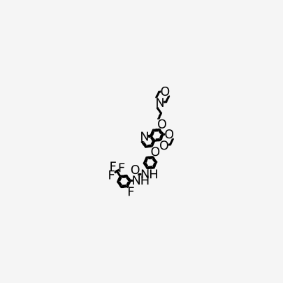 O=C(Nc1ccc(Oc2ccnc3cc(OCCCN4CCOCC4)c4c(c23)OCCO4)cc1)Nc1cc(C(F)(F)F)ccc1F